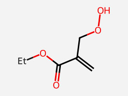 C=C(COO)C(=O)OCC